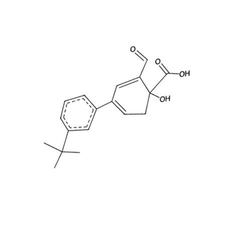 CC(C)(C)c1cccc(C2=CCC(O)(C(=O)O)C(C=O)=C2)c1